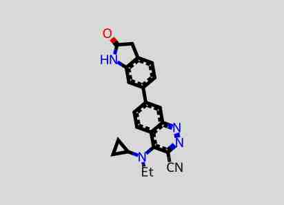 CCN(c1c(C#N)nnc2cc(-c3ccc4c(c3)NC(=O)C4)ccc12)C1CC1